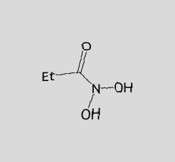 CCC(=O)N(O)O